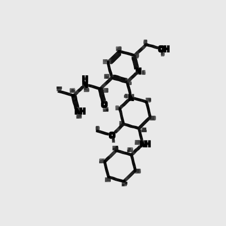 COC1CN(c2nc(CO)ccc2C(=O)NC(C)=N)CCC1NC1CCCCC1